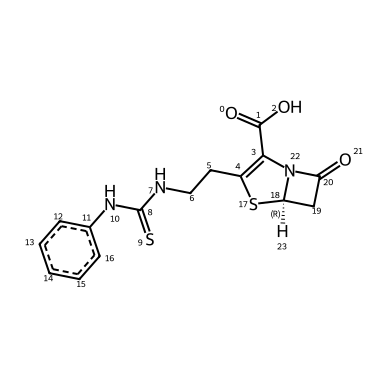 O=C(O)C1=C(CCNC(=S)Nc2ccccc2)S[C@@H]2CC(=O)N12